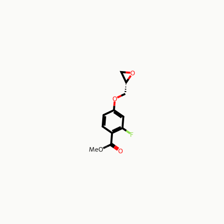 COC(=O)c1ccc(OC[C@@H]2CO2)cc1F